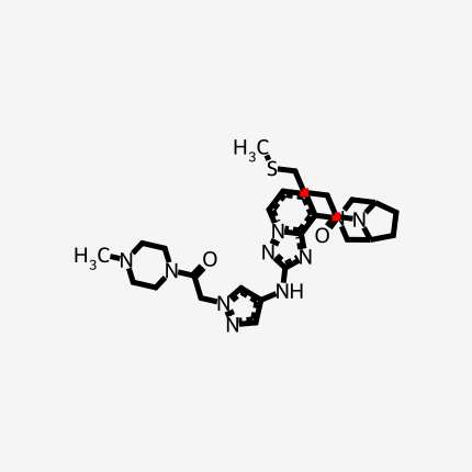 CSCCCC(=O)N1C2CCC1CN(c1cccn3nc(Nc4cnn(CC(=O)N5CCN(C)CC5)c4)nc13)C2